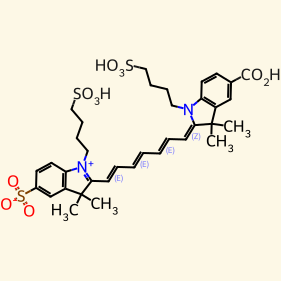 CC1(C)C(/C=C/C=C/C=C/C=C2\N(CCCCS(=O)(=O)O)c3ccc(C(=O)O)cc3C2(C)C)=[N+](CCCCS(=O)(=O)O)c2ccc(S(=O)(=O)[O-])cc21